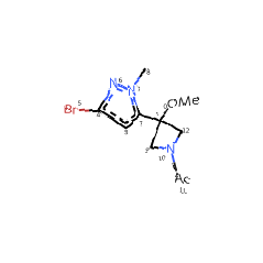 COC1(c2cc(Br)nn2C)CN(C(C)=O)C1